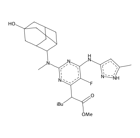 CCC(C)C(C(=O)OC)c1nc(N(C)C2C3CC4CC2CC(O)(C4)C3)nc(Nc2cc(C)[nH]n2)c1F